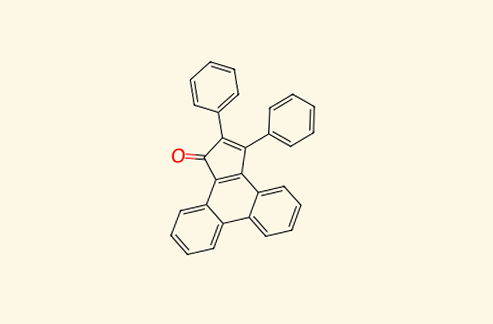 O=C1C(c2ccccc2)=C(c2ccccc2)c2c1c1ccccc1c1ccccc21